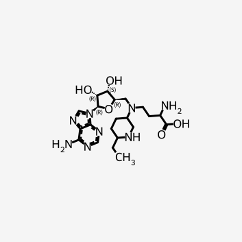 CCC1CCC(N(CCC(N)C(=O)O)C[C@H]2O[C@@H](n3cnc4c(N)ncnc43)[C@H](O)[C@@H]2O)CN1